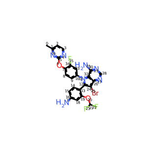 Cc1ccnc(Oc2ccc(-n3c(-c4ccc(N)cc4OC(F)F)c(Br)c4ncnc(N)c43)cc2F)n1